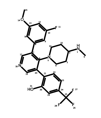 CNC1CCN(c2c(-c3cc(F)cc(OC)c3)cncc2-c2ccc(C(F)(F)F)cc2O)CC1